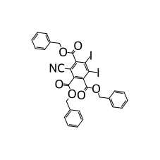 N#Cc1c(C(=O)OCc2ccccc2)c(I)c(I)c(C(=O)OCc2ccccc2)c1C(=O)OCc1ccccc1